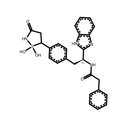 O=C(Cc1ccccc1)N[C@@H](Cc1ccc(C2CC(=O)NS2(O)O)cc1)c1nc2ccccc2[nH]1